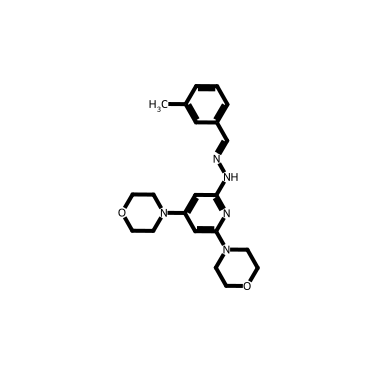 Cc1cccc(C=NNc2cc(N3CCOCC3)cc(N3CCOCC3)n2)c1